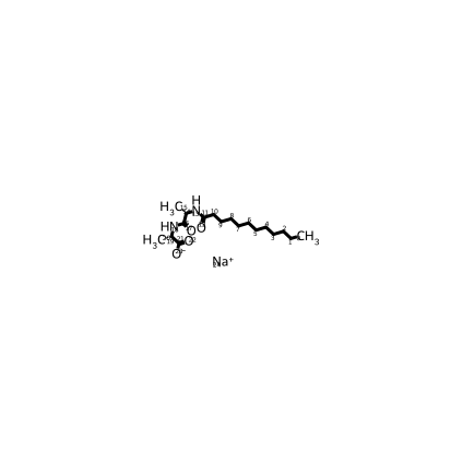 CCCCCCCCCCCC(=O)N[C@@H](C)C(=O)N[C@@H](C)C(=O)[O-].[Na+]